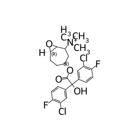 C[N+](C)(C)C1C[C@H](OC(=O)C(O)(c2ccc(F)c(Cl)c2)c2ccc(F)c(Cl)c2)CC[C@H]2OC12